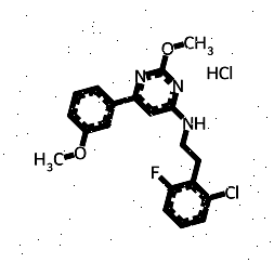 COc1cccc(-c2cc(NCCc3c(F)cccc3Cl)nc(OC)n2)c1.Cl